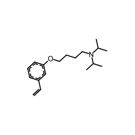 C=Cc1cccc(OCCCCN(C(C)C)C(C)C)c1